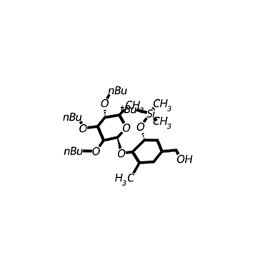 CCCCOC1C(OCCCC)[C@H](OCCCC)C(C)O[C@H]1OC1C(C)CC(CO)C[C@H]1O[Si](C)(C)C(C)(C)C